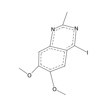 COc1cc2nc(C)nc(I)c2cc1OC